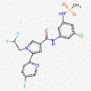 CS(=O)(=O)Nc1cc(Cl)cc(NC(=O)c2cc(-c3ccc(F)cn3)n(CC(F)F)c2)c1